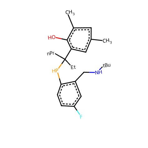 CCCC(CC)(Pc1ccc(F)cc1CNC(C)(C)C)c1cc(C)cc(C)c1O